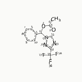 CC(=O)OC(c1ccccc1)n1cnc(C(F)(F)F)n1